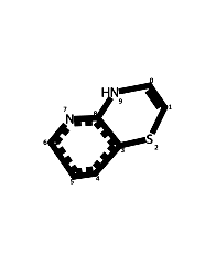 C1=CSc2cccnc2N1